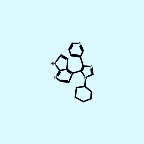 c1cncc(-c2ncn(C3CCCCC3)c2-c2ccnc3[nH]ccc23)c1